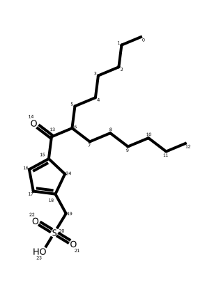 CCCCCCC(CCCCCC)C(=O)C1=CC=C(CS(=O)(=O)O)C1